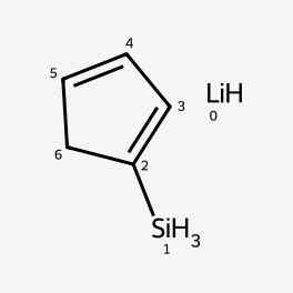 [LiH].[SiH3]C1=CC=CC1